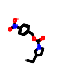 [CH2]CC1CCN(C(=O)OCc2ccc([N+](=O)[O-])cc2)C1